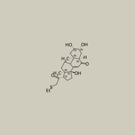 CCSCC(=O)[C@H]1CC[C@@]2(O)C3=CC(=O)[C@@H]4C[C@@H](O)[C@@H](O)C[C@]4(C)C3CC[C@]12C